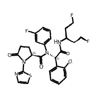 O=C(NC(CCF)CCF)[C@H](c1ccccc1Cl)N(C(=O)[C@@H]1CCC(=O)N1c1nccs1)c1cccc(F)c1